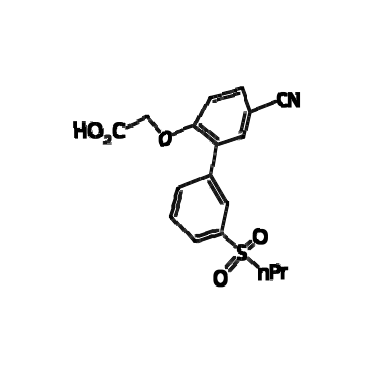 CCCS(=O)(=O)c1cccc(-c2cc(C#N)ccc2OCC(=O)O)c1